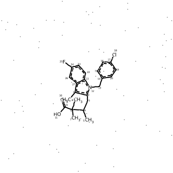 Cc1c(CC(C)C(C)(C)C(=O)O)n(Cc2ccc(Cl)cc2)c2ccc(F)cc12